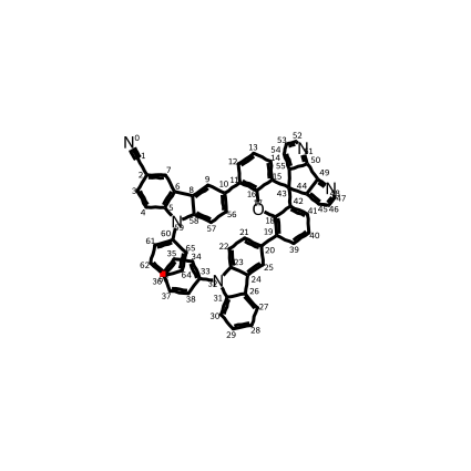 N#Cc1ccc2c(c1)c1cc(-c3cccc4c3Oc3c(-c5ccc6c(c5)c5ccccc5n6-c5ccccc5)cccc3C43c4cccnc4-c4ncccc43)ccc1n2-c1ccccc1